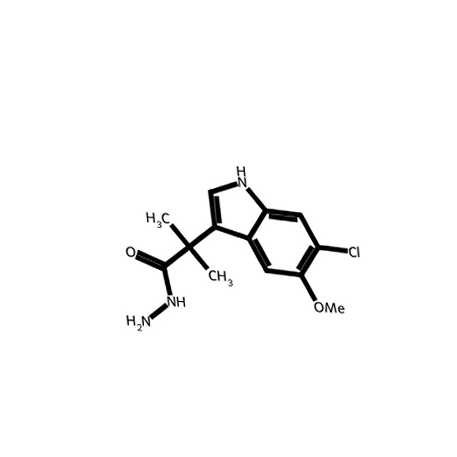 COc1cc2c(C(C)(C)C(=O)NN)c[nH]c2cc1Cl